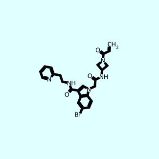 C=CC(=O)N1CC(NC(=O)Cn2cc(C(=O)NCCc3ccccn3)c3cc(Br)ccc32)C1